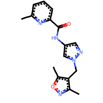 Cc1cccc(C(=O)Nc2cnn(Cc3c(C)noc3C)c2)n1